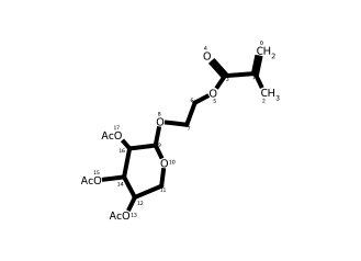 C=C(C)C(=O)OCCOC1OCC(OC(C)=O)C(OC(C)=O)C1OC(C)=O